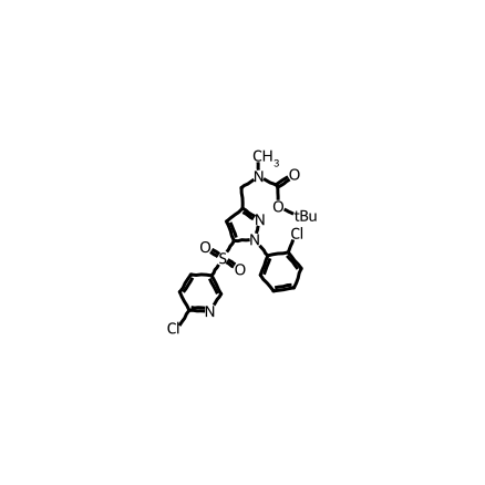 CN(Cc1cc(S(=O)(=O)c2ccc(Cl)nc2)n(-c2ccccc2Cl)n1)C(=O)OC(C)(C)C